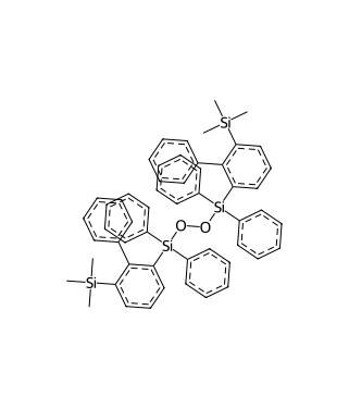 C[Si](C)(C)c1cccc([Si](OO[Si](c2ccccc2)(c2ccccc2)c2cccc([Si](C)(C)C)c2-c2ccccc2)(c2ccccc2)c2ccccc2)c1-c1ccccc1